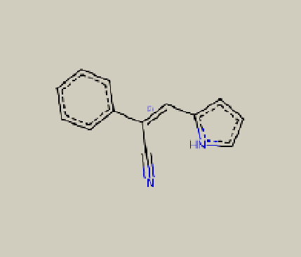 N#C/C(=C\c1ccc[nH]1)c1ccccc1